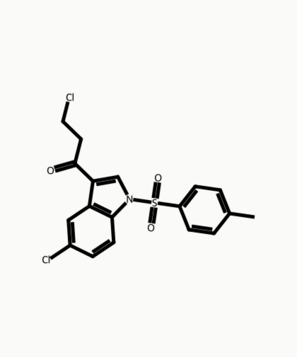 Cc1ccc(S(=O)(=O)n2cc(C(=O)CCCl)c3cc(Cl)ccc32)cc1